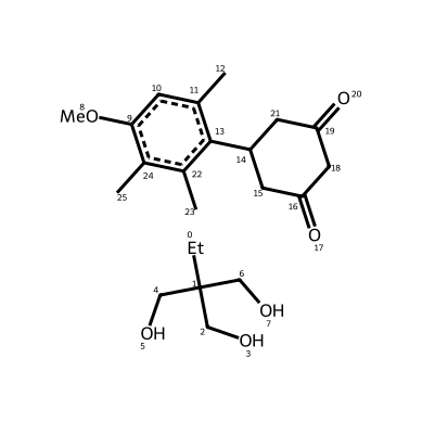 CCC(CO)(CO)CO.COc1cc(C)c(C2CC(=O)CC(=O)C2)c(C)c1C